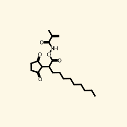 C=C(C)C(=O)NOC(=O)C(CCCCCCCCC)C1C(=O)CCC1=O